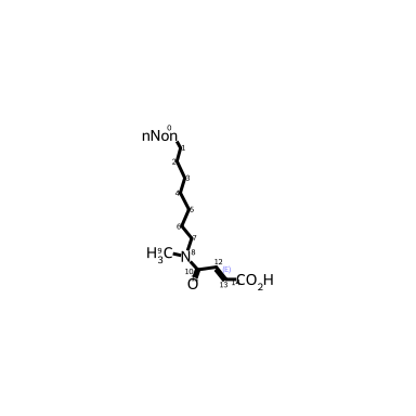 CCCCCCCCCCCCCCCCN(C)C(=O)/C=C/C(=O)O